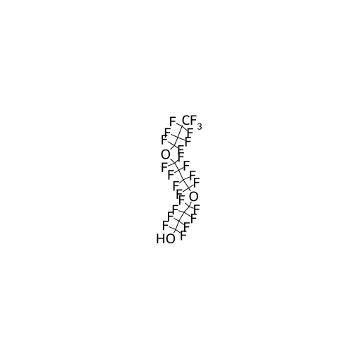 OC(F)(F)C(F)(F)C(F)(F)C(F)(F)OC(F)(F)C(F)(F)C(F)(F)C(F)(F)OC(F)(F)C(F)(F)C(F)(F)C(F)(F)F